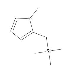 C[C]1C=CC=C1C[Si](C)(C)C